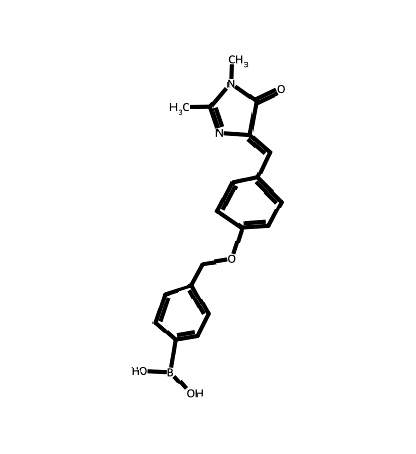 CC1=N/C(=C\c2ccc(OCc3ccc(B(O)O)cc3)cc2)C(=O)N1C